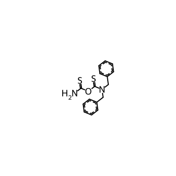 NC(=S)OC(=S)N(Cc1ccccc1)Cc1ccccc1